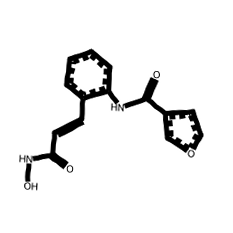 O=C(C=Cc1ccccc1NC(=O)c1ccoc1)NO